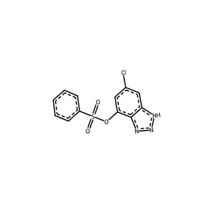 O=S(=O)(Oc1cc(Cl)cc2[nH]nnc12)c1ccccc1